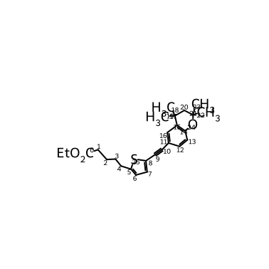 CCOC(=O)CCCCc1ccc(C#Cc2ccc3c(c2)C(C)(C)CC(C)(C)O3)s1